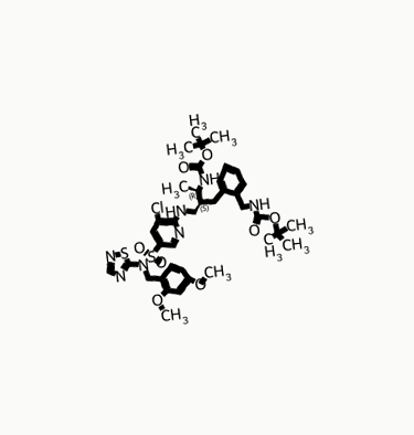 COc1ccc(CN(c2ncns2)S(=O)(=O)c2cnc(NC[C@H](Cc3ccccc3CNC(=O)OC(C)(C)C)[C@@H](C)NC(=O)OC(C)(C)C)c(Cl)c2)c(OC)c1